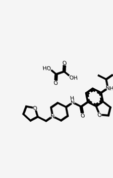 CC(C)Nc1ccc(C(=O)NC2CCN(CC3CCCO3)CC2)c2c1CCO2.O=C(O)C(=O)O